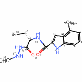 COc1cccc2[nH]c(C(=O)N[C@@H](CC(C)C)C(=O)NNC=O)cc12